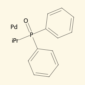 CC(C)P(=O)(c1ccccc1)c1ccccc1.[Pd]